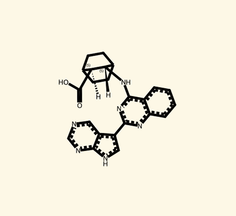 O=C(O)[C@H]1C2CCC(CC2)[C@@H]1Nc1nc(-c2c[nH]c3ncncc23)nc2ccccc12